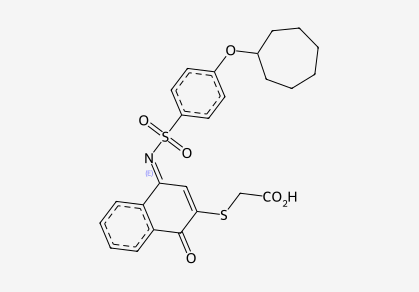 O=C(O)CSC1=C/C(=N\S(=O)(=O)c2ccc(OC3CCCCCC3)cc2)c2ccccc2C1=O